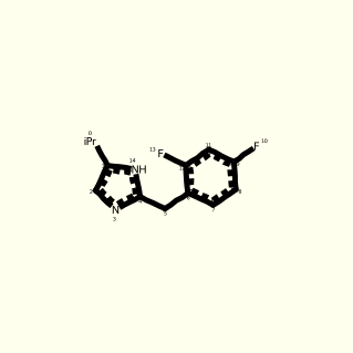 CC(C)c1cnc(Cc2ccc(F)cc2F)[nH]1